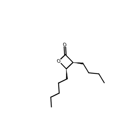 CCCCC[C@H]1OC(=O)[C@H]1CCCC